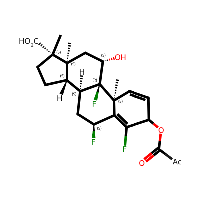 CC(=O)C(=O)OC1C=C[C@@]2(C)C(=C1F)[C@@H](F)C[C@H]1[C@@H]3CC[C@](C)(C(=O)O)[C@@]3(C)C[C@H](O)[C@@]12F